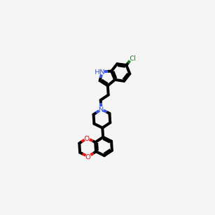 Clc1ccc2c(CCN3CCC(c4cccc5c4OCCO5)CC3)c[nH]c2c1